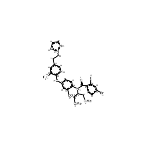 COCC(COC)N(C(=O)c1ccc(Br)cc1F)c1ccc(Oc2ncc(CCn3nccn3)cc2C(F)(F)F)cc1C(=O)O